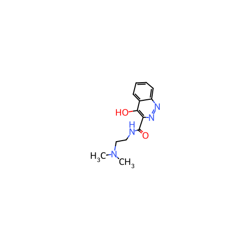 CN(C)CCNC(=O)c1nnc2ccccc2c1O